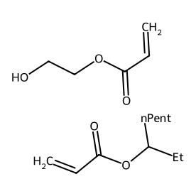 C=CC(=O)OC(CC)CCCCC.C=CC(=O)OCCO